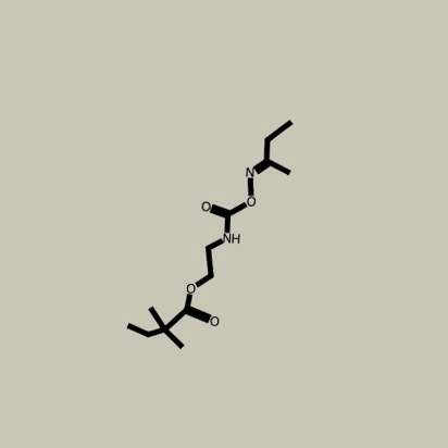 CC/C(C)=N/OC(=O)NCCOC(=O)C(C)(C)CC